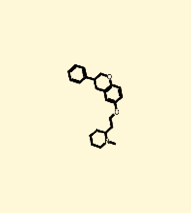 CN1CCCCC1CCOc1ccc2c(c1)CC(c1ccccc1)CO2